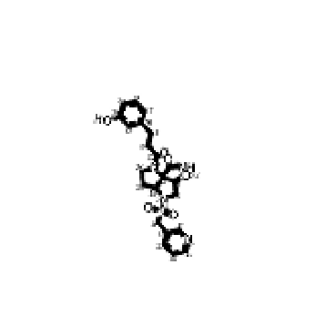 NC(=O)C12C(=O)CN(S(=O)(=O)Cc3cccnc3)C1CCN2C(=O)[CH]Cc1cccc(O)c1